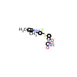 CC12CC3CC(C)(C1)CC(NCc1ccc(CSc4cccc5c4CN(C4CCC(=O)NC4=O)C5=O)c(F)c1)(C3)C2